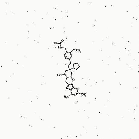 CCc1cc(CCC2(C3CCCC3)CC(O)=C(Cc3nc4nc(C)cc(C)n4n3)C(=O)O2)ccc1CNC(=O)O